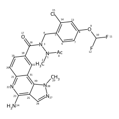 CC(=O)N(C)N(Cc1ccc(OC(F)F)cc1Cl)C(=O)c1ccc2nc(N)c3cnn(C)c3c2c1